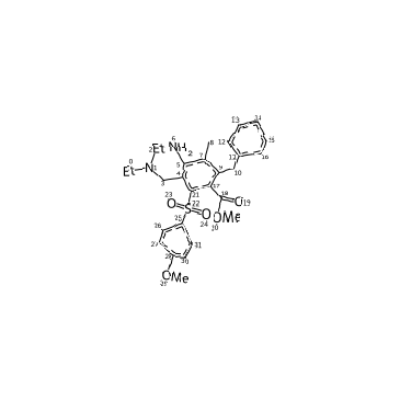 CCN(CC)Cc1c(N)c(C)c(Cc2ccccc2)c(C(=O)OC)c1S(=O)(=O)c1ccc(OC)cc1